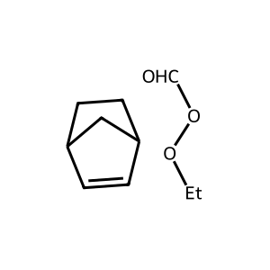 C1=CC2CCC1C2.CCOOC=O